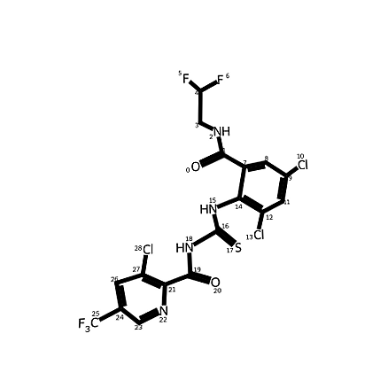 O=C(NCC(F)F)c1cc(Cl)cc(Cl)c1NC(=S)NC(=O)c1ncc(C(F)(F)F)cc1Cl